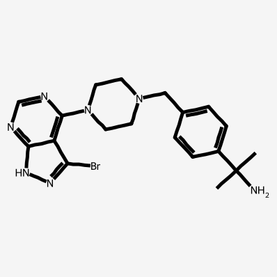 CC(C)(N)c1ccc(CN2CCN(c3ncnc4[nH]nc(Br)c34)CC2)cc1